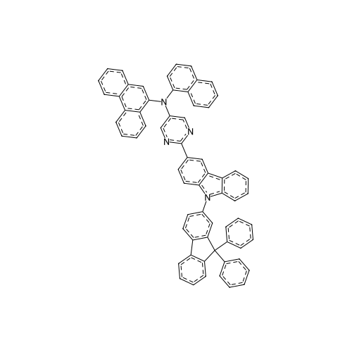 c1ccc(C2(c3ccccc3)c3ccccc3-c3ccc(-n4c5ccccc5c5cc(-c6ncc(N(c7cccc8ccccc78)c7cc8ccccc8c8ccccc78)cn6)ccc54)cc32)cc1